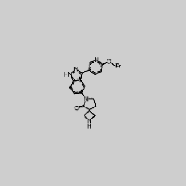 CC(C)Oc1ccc(-c2n[nH]c3ccc(N4CCC5(CNC5)C4=O)cc23)cn1